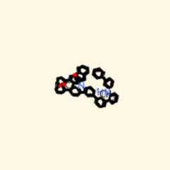 CC1C(c2ccccc2Nc2cccc(-c3ccccc3)c2)=CC=CC1c1ccc2c(c1)c1c(n2-c2ccc3ccccc3c2)C(C)(c2ccccc2-c2ccccc2)C(c2ccccc2)C=C1